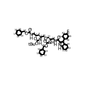 CC(C)(C)OC(=O)N[C@@H](CCCNC(=O)OCc1ccccc1)COC[C@@H](CNC(=O)c1[nH]c2ccccc2c1-c1ccc(F)cc1)NC(=O)OCc1ccccc1